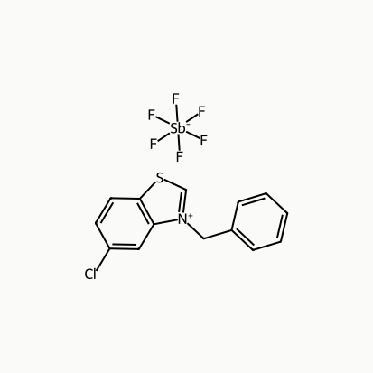 Clc1ccc2sc[n+](Cc3ccccc3)c2c1.[F][Sb-]([F])([F])([F])([F])[F]